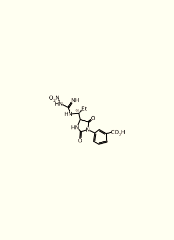 CC[C@H](NC(=N)N[N+](=O)[O-])C1NC(=O)N(c2cccc(C(=O)O)c2)C1=O